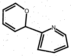 C1=COC(c2ccccn2)C=C1